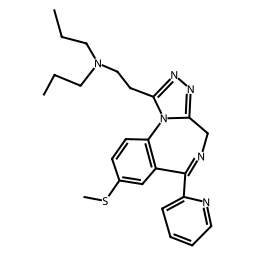 CCCN(CCC)CCc1nnc2n1-c1ccc(SC)cc1C(c1ccccn1)=NC2